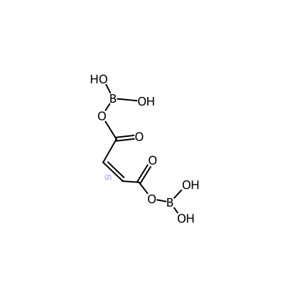 O=C(/C=C\C(=O)OB(O)O)OB(O)O